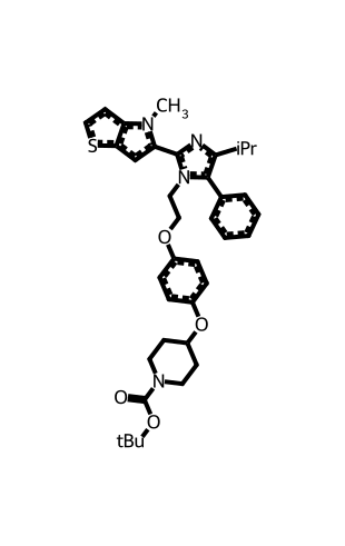 CC(C)c1nc(-c2cc3sccc3n2C)n(CCOc2ccc(OC3CCN(C(=O)OC(C)(C)C)CC3)cc2)c1-c1ccccc1